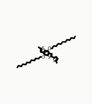 CCCCCCCCCCCCOc1c2cc(-c3ccc(C)s3)sc2c(OCCCCCCCCCCCC)c2cc(C)sc12